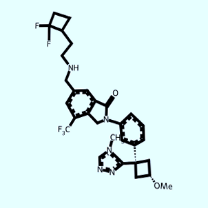 CO[C@H]1C[C@](c2cccc(N3Cc4c(cc(CNCCC5CCC5(F)F)cc4C(F)(F)F)C3=O)c2)(c2nncn2C)C1